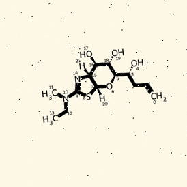 C=CC[C@@H](O)[C@H]1O[C@@H]2SC(N(C)CC)=N[C@@H]2[C@@H](O)[C@@H]1O